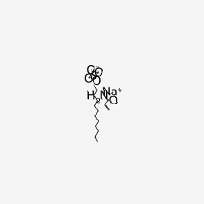 C=CC(N)=O.CCCCCCCCCCCCOS(=O)(=O)[O-].[Na+]